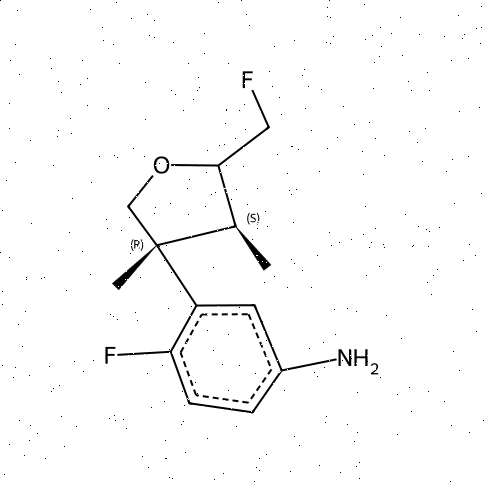 C[C@@H]1C(CF)OC[C@@]1(C)c1cc(N)ccc1F